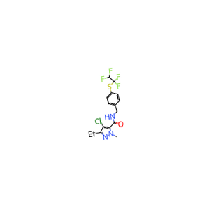 CCc1nn(C)c(C(=O)NCc2ccc(SC(F)(F)C(F)F)cc2)c1Cl